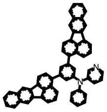 c1ccc(N(c2cccnc2)c2cc(-c3ccc4c5c(cccc35)-c3cc5ccccc5cc3-4)cc(-c3ccc4c5c(cccc35)-c3cc5ccccc5cc3-4)c2)cc1